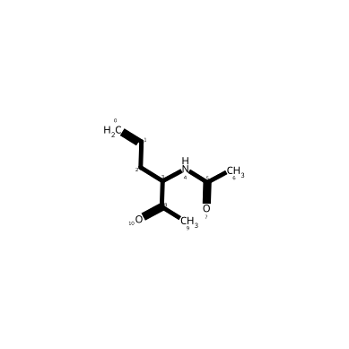 C=CCC(NC(C)=O)C(C)=O